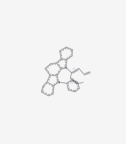 C=C/C=C(\C=C/C)n1c2ccccc2c2ccc3c4ccccc4n(-c4ccccc4)c3c21